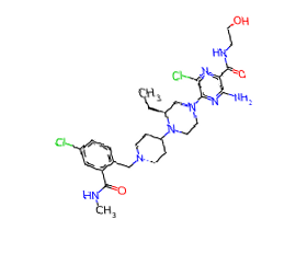 CC[C@H]1CN(c2nc(N)c(C(=O)NCCO)nc2Cl)CCN1C1CCN(Cc2ccc(Cl)cc2C(=O)NC)CC1